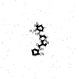 N#Cc1ccccc1NC(=O)c1cnn2ccc(N[C@@H]3CCCC(F)(F)[C@@H]3N)nc12